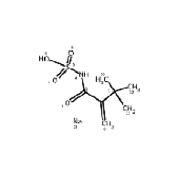 C=C(C(=O)NS(=O)(=O)O)C(C)(C)C.[Na]